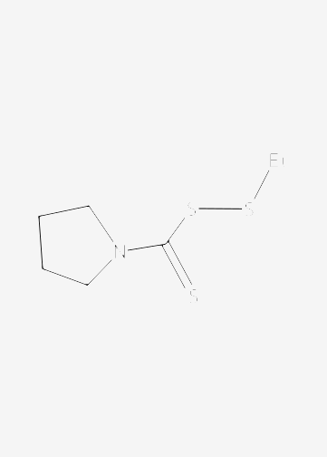 CCSSC(=S)N1CCCC1